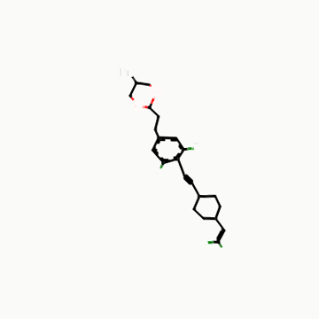 CCCC1COC(CCc2cc(F)c(C#CC3CCC(C=C(F)F)CC3)c(F)c2)OC1